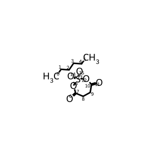 CCCCCC.O=C1CCC(=O)OS(=O)(=O)O1